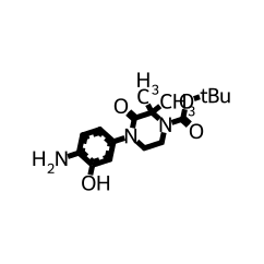 CC(C)(C)OC(=O)N1CCN(c2ccc(N)c(O)c2)C(=O)C1(C)C